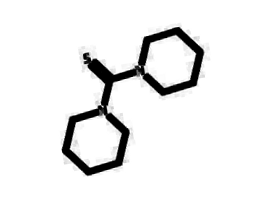 S=C(N1CCCCC1)N1CCCCC1